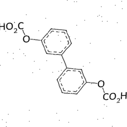 O=C(O)Oc1cccc(-c2cccc(OC(=O)O)c2)c1